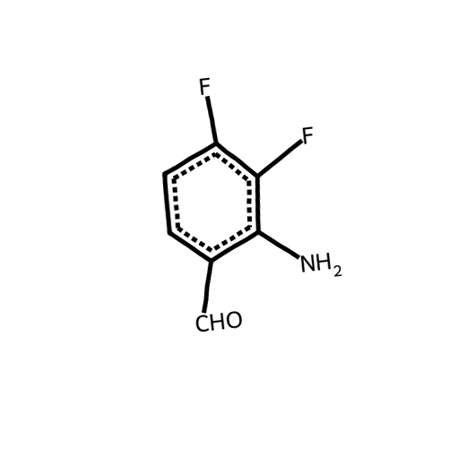 Nc1c(C=O)ccc(F)c1F